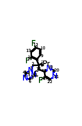 CC(C)C(Cn1cncn1)(c1ccc(F)cc1F)C(C)c1ncncc1F